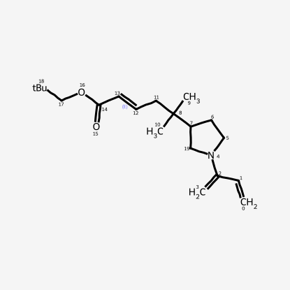 C=CC(=C)N1CCC(C(C)(C)C/C=C/C(=O)OCC(C)(C)C)C1